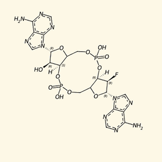 Nc1ncnc2c1ncn2[C@@H]1OC2COP(=O)(O)O[C@@H]3C(COP(=O)(O)O[C@H]2[C@H]1O)O[C@@H](n1cnc2c(N)ncnc21)[C@@H]3F